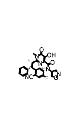 C[C@H](c1nc(C(=O)Nc2cnoc2)c(O)c(=O)n1C)[C@@H](c1ccccc1)c1ccc(F)cc1C#N